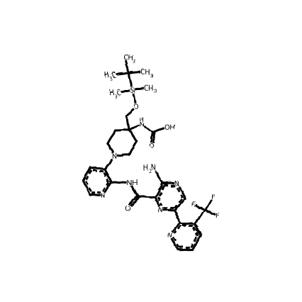 CC(C)(C)[Si](C)(C)OCC1(NC(=O)O)CCN(c2cccnc2NC(=O)c2nc(-c3ncccc3C(F)(F)F)cnc2N)CC1